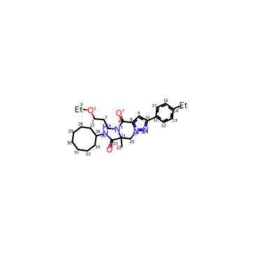 CCOCCCN1C(=O)c2cc(-c3ccc(CC)cc3)nn2CC1(C)C(=O)NC1CCCCCCC1